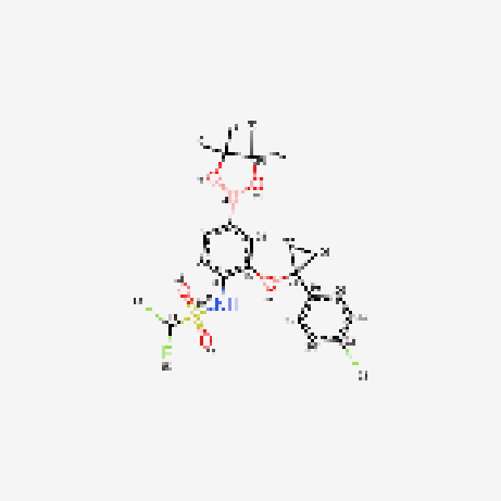 CC1(C)OB(c2ccc(NS(=O)(=O)C(F)F)c(OC3(c4ccc(F)cc4)CC3)c2)OC1(C)C